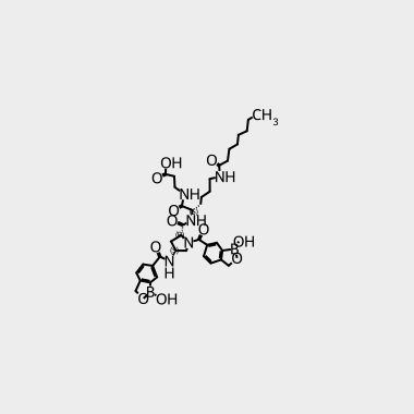 CCCCCCCC(=O)NCCCC[C@H](NC(=O)[C@H]1C[C@H](NC(=O)c2ccc3c(c2)B(O)OC3)CN1C(=O)c1ccc2c(c1)B(O)OC2)C(=O)NCCC(=O)O